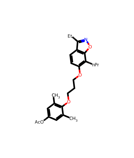 CCCc1c(OCCCOc2c(C)cc(OC(C)=O)cc2C)ccc2c(CC)noc12